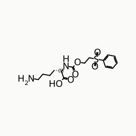 NCCCC[C@H](NC(=O)OCCS(=O)(=O)c1ccccc1)C(=O)O